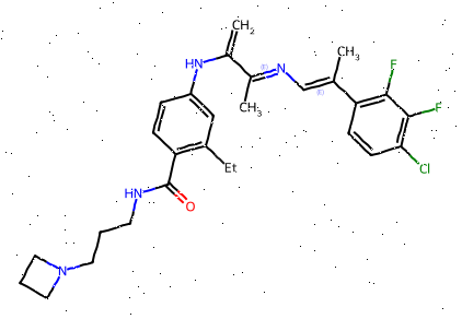 C=C(Nc1ccc(C(=O)NCCCN2CCC2)c(CC)c1)/C(C)=N/C=C(\C)c1ccc(Cl)c(F)c1F